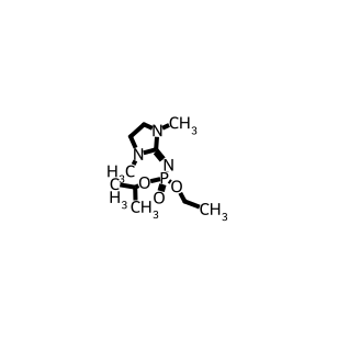 CCOP(=O)(N=C1N(C)CCN1C)OC(C)C